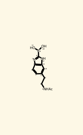 CC(=O)NCCc1ccc2nc(B(O)O)[nH]c2c1